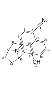 N#Cc1ccc(N2C3CC=C(CO)C2CC3)c2ccccc12